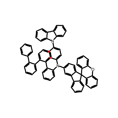 c1ccc(-c2ccccc2-c2ccccc2-c2ccccc2N(c2ccc(-n3c4ccccc4c4ccccc43)cc2)c2ccc3c(c2)-c2ccccc2C32c3ccccc3Oc3ccccc32)cc1